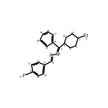 CCC1CCC(C(=NN=Cc2ccc(F)cc2)c2ccccc2)CC1